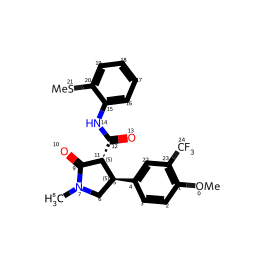 COc1ccc([C@H]2CN(C)C(=O)[C@@H]2C(=O)Nc2ccccc2SC)cc1C(F)(F)F